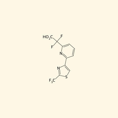 O=C(O)C(F)(F)c1cccc(-c2csc(C(F)(F)F)n2)n1